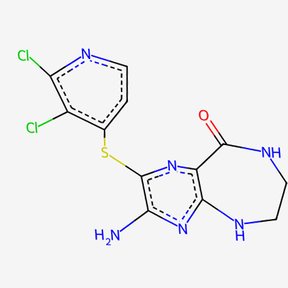 Nc1nc2c(nc1Sc1ccnc(Cl)c1Cl)C(=O)NCCN2